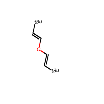 CC(C)(C)C=COC=CC(C)(C)C